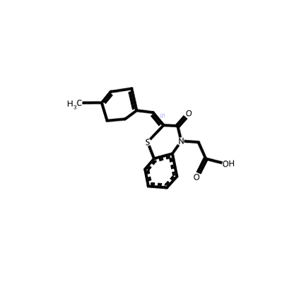 CC1=CC=C(/C=C2\Sc3ccccc3N(CC(=O)O)C2=O)CC1